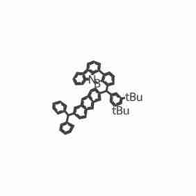 CC(C)(C)c1cc(C2c3cc4cc5ccc(C(c6ccccc6)c6ccccc6)cc5cc4cc3B3c4c(cccc42)-c2cccc4c5ccccc5n3c24)cc(C(C)(C)C)c1